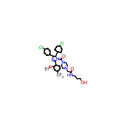 CCOc1cc(C(F)(F)F)ccc1C1=NC(c2ccc(Cl)cc2)C(c2ccc(Cl)cc2)N1C(=O)N1CCN(CC(=O)NCCCO)CC1